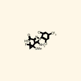 CSC1(c2c(C(=O)S)nn(-c3c(Cl)cc(C(F)(F)F)cc3Cl)c2N)CC1(F)F